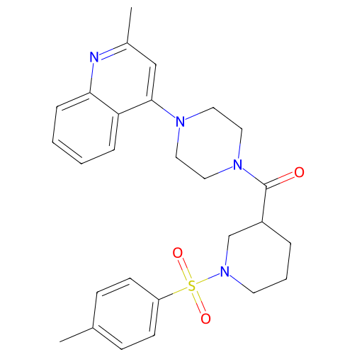 Cc1ccc(S(=O)(=O)N2CCCC(C(=O)N3CCN(c4cc(C)nc5ccccc45)CC3)C2)cc1